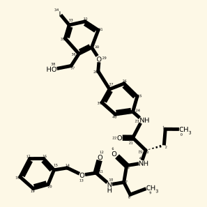 CCC[C@H](NC(=O)C(CC)NC(=O)OCc1ccccc1)C(=O)Nc1ccc(COc2ccc(I)cc2CO)cc1